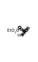 CCOC(=O)Cc1ccccc1OCc1nn(CC2CNC2)c2ccc(Br)cc12